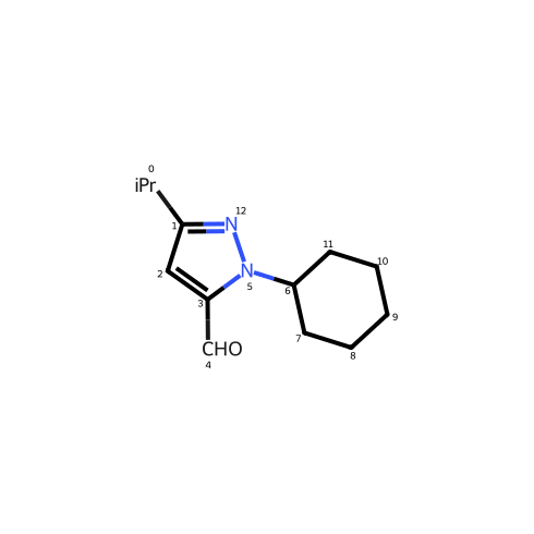 CC(C)c1cc(C=O)n(C2CCCCC2)n1